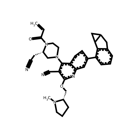 C=CC(=O)N1CCN(c2c(C#N)c(OC[C@@H]3CCCN3C)nc3cc(-c4cccc5c4C4CC4C5)ccc23)C[C@@H]1CC#N